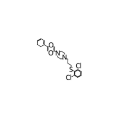 Clc1cccc(Cl)c1SCCCN1CCN(C2=COC(C3=CC=CCC3)=CO2)CC1